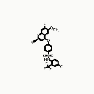 COc1cc2c(Oc3ccc(S(=O)(=O)Nc4ccc(Cl)cc4C(F)(F)F)cc3)cc(C#N)nc2cc1F